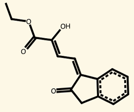 CCOC(=O)C(O)=CC=C1C(=O)Cc2ccccc21